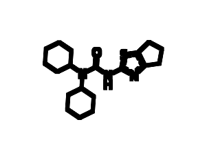 O=C(Nc1nc2c(s1)CCC2)N(C1CCCCC1)C1CCCCC1